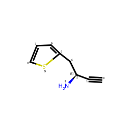 C#C[C@@H](N)Cc1cccs1